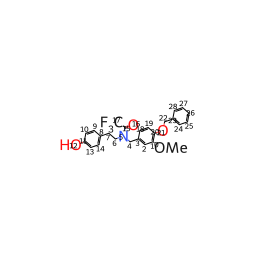 COc1cc(CN(CCc2ccc(O)cc2)C(=O)C(F)(F)F)ccc1OCc1ccccc1